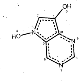 Oc1cn(O)c2cncnc12